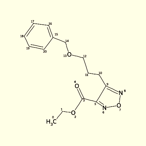 CCOC(=O)c1nonc1CCCOCc1ccccc1